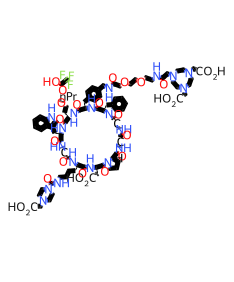 CCCOCC[C@@H]1NC(=O)[C@H](Cc2ccc(CNC(=O)COCCOCCNC(=O)CN3CCN(CC(=O)O)CCN(CC(=O)O)CC3)cc2)NC(=O)[C@H](Cc2ccccc2)N(C)C(=O)CNC(=O)CNC(=O)[C@H]2CCCN2C(=O)[C@H](CC(=O)O)NC(=O)[C@H](CCCCNC(=O)N2CCN(CC(=O)O)CC2)NC(=O)CNC(=O)[C@H](Cc2c[nH]c3ccccc23)NC1=O.O=C(O)C(F)(F)F